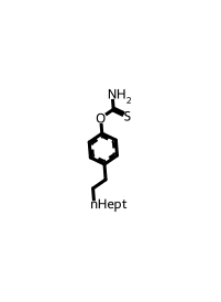 CCCCCCCCCc1ccc(OC(N)=S)cc1